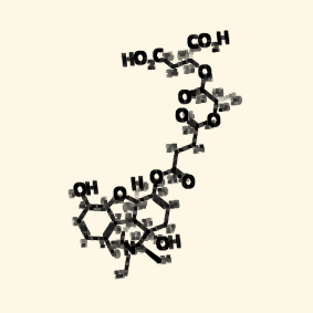 Cc1ccc(O)c2c1[C@]13CCN(C)[C@H](C)[C@]1(O)CC=C(OC(=O)CCC(=O)O[C@@H](C)C(=O)O[C@H](CC(=O)O)C(=O)O)[C@@H]3O2